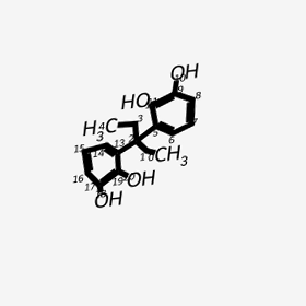 CCC(CC)(c1cccc(O)c1O)c1cccc(O)c1O